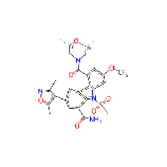 Cc1noc(C)c1-c1cc(C(N)=O)c2c(c1)c1c(C(=O)N3C[C@@H](C)O[C@@H](C)C3)cc(OC(F)(F)F)cc1n2S(C)(=O)=O